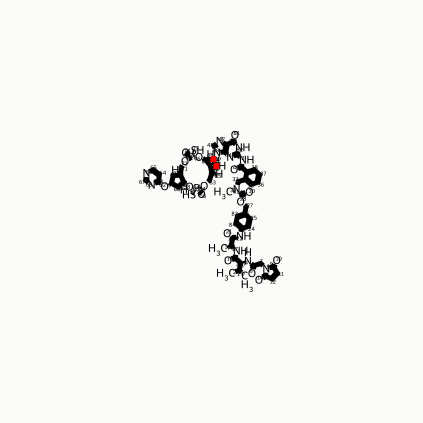 CC(C)[C@H](NC(=O)CN1C(=O)C=CC1=O)C(=O)N[C@@H](C)C(=O)Nc1ccc(COC(=O)N(C)Cc2ccccc2C(=O)Nc2nc3c(ncn3[C@@H]3O[C@@H]4CO[P@@](=O)(S)O[C@H]5C[C@H](Oc6ccncn6)C[C@@H]5CO[P@@](=O)(S)O[C@@H]3[C@@H]4O)c(=O)[nH]2)cc1